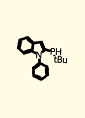 CC(C)(C)Pc1cc2ccccc2n1-c1ccccc1